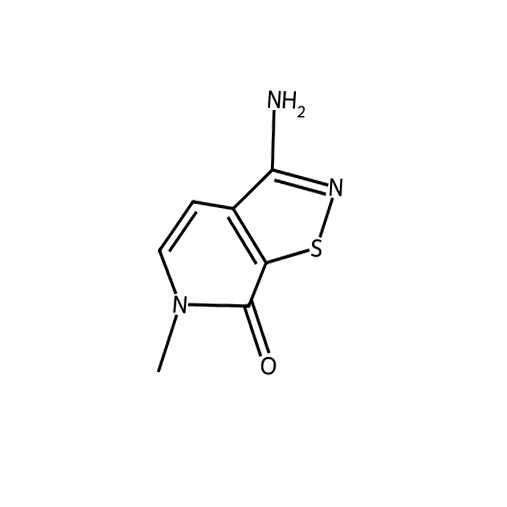 Cn1ccc2c(N)nsc2c1=O